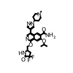 CC(C)Oc1cc2c(OCC3CC(F)(F)C(=O)N3)ncc(-c3cnn(C4CCN(C)CC4)c3)c2cc1C(N)=O